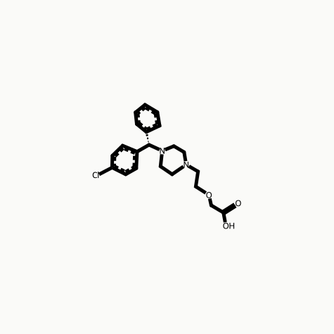 O=C(O)COCCN1CCN([C@@H](c2ccccc2)c2ccc(Cl)cc2)CC1